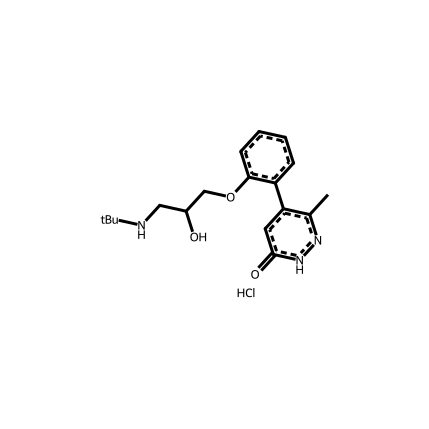 Cc1n[nH]c(=O)cc1-c1ccccc1OCC(O)CNC(C)(C)C.Cl